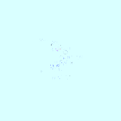 CC(C)C(N)C(=O)O.CC(C)CC(N)C(=O)O.CCC(C)C(N)C(=O)O.CSCCC(N)C(=O)O.NC(CSSCC(N)C(=O)O)C(=O)O.NC(Cc1ccc(O)cc1)C(=O)O.NC(Cc1ccccc1)C(=O)O